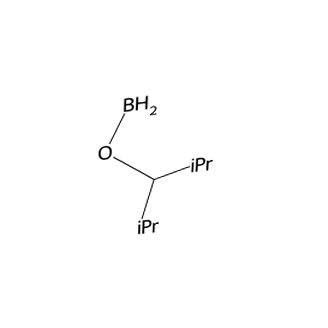 BOC(C(C)C)C(C)C